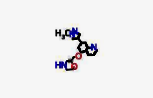 Cn1cc(-c2cc(OC[C@@H]3CNCCO3)c3cccnc3c2)cn1